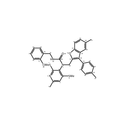 CSc1cc(C)nc(SC)c1N(Cc1oc2ccc(C)cc2c1-c1ccc(C)cc1)C(=O)NCc1ccccc1Cl